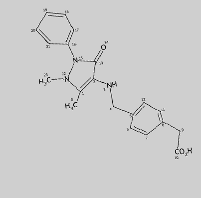 Cc1c(NCc2ccc(CC(=O)O)cc2)c(=O)n(-c2ccccc2)n1C